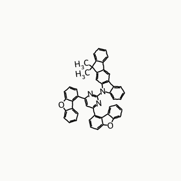 CC1(C)c2ccccc2-c2cc3c4ccccc4n(-c4nc(-c5cccc6oc7ccccc7c56)cc(-c5cccc6oc7ccccc7c56)n4)c3cc21